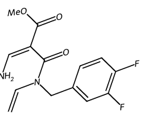 C=CN(Cc1ccc(F)c(F)c1)C(=O)/C(=C\N)C(=O)OC